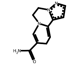 NC(=O)C1=CN2CCn3nccc3C2=CC1